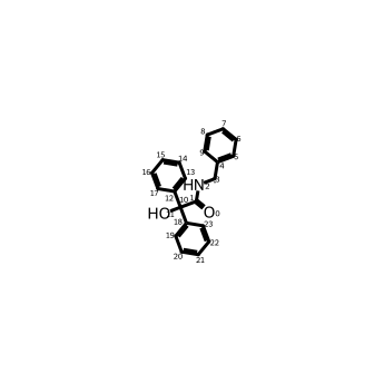 O=C(N[CH]c1ccccc1)C(O)(c1ccccc1)c1ccccc1